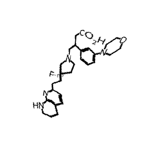 O=C(O)CC(CN1CC[C@@](F)(CCc2ccc3c(n2)NCCC3)C1)c1cccc(N2CCOCC2)c1